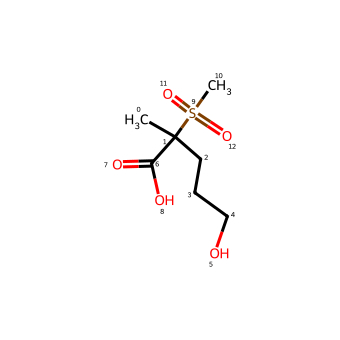 CC(CCCO)(C(=O)O)S(C)(=O)=O